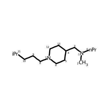 CCCN(C)CC1CCN(CCCC(C)C)CC1